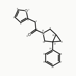 O=C(Cc1ccco1)N1CC2CC2(c2ccccc2)C1